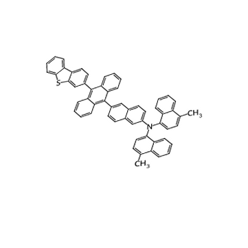 Cc1ccc(N(c2ccc3cc(-c4c5ccccc5c(-c5ccc6c(c5)sc5ccccc56)c5ccccc45)ccc3c2)c2ccc(C)c3ccccc23)c2ccccc12